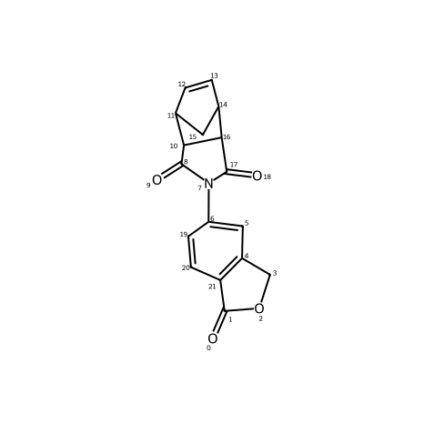 O=C1OCc2cc(N3C(=O)C4C5C=CC(C5)C4C3=O)ccc21